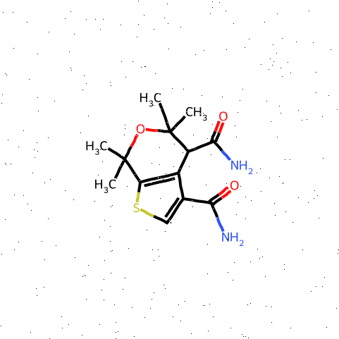 CC1(C)OC(C)(C)C(C(N)=O)c2c(C(N)=O)[c]sc21